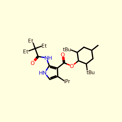 CCC(CC)(CC)C(=O)Nc1[nH]cc(C(C)C)c1C(=O)OC1C(C(C)(C)C)CC(C)CC1C(C)(C)C